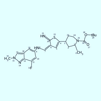 CC1CC(C2=C/C(=C/Nc3cc(F)c4nn(C)cc4c3)C(=N)S2)CCN1C(=O)OC(C)(C)C